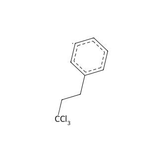 ClC(Cl)(Cl)CCc1c[c]ccc1